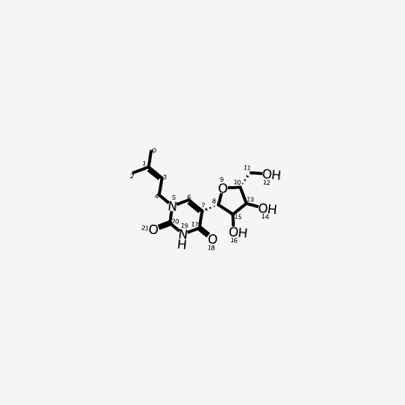 CC(C)=CCn1cc([C@@H]2O[C@H](CO)C(O)C2O)c(=O)[nH]c1=O